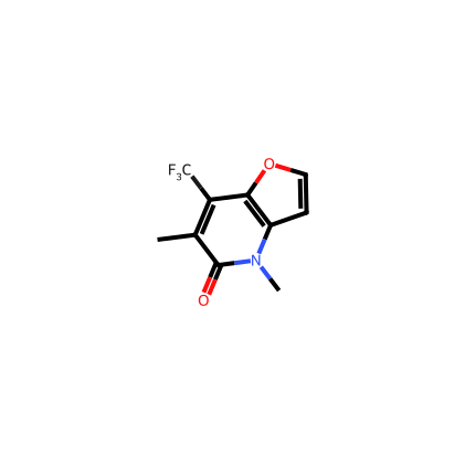 Cc1c(C(F)(F)F)c2occc2n(C)c1=O